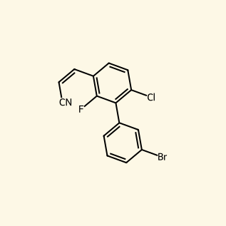 N#C/C=C\c1ccc(Cl)c(-c2cccc(Br)c2)c1F